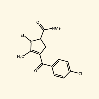 CCN1C(C)=C(C(=O)c2ccc(Cl)cc2)CC1C(=O)NC